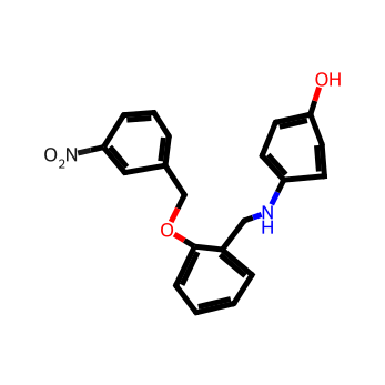 O=[N+]([O-])c1cccc(COc2ccccc2CNc2ccc(O)cc2)c1